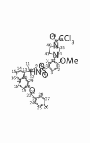 COc1ccc(S(=O)(=O)NCC(C)(C)c2cccc3ccc(OCc4ccccc4)cc23)cc1N1CCN(C(=O)C(Cl)(Cl)Cl)CC1